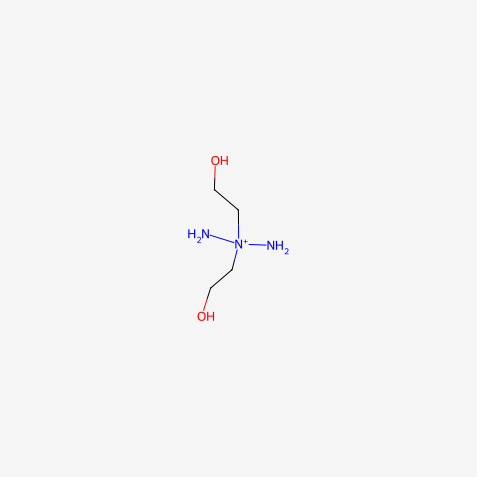 N[N+](N)(CCO)CCO